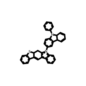 C1=CC2c3cc(-n4c5c(c6ccccc64)C=C4c6ccccc6SC4C5)ccc3N(c3ccccc3)C2C=C1